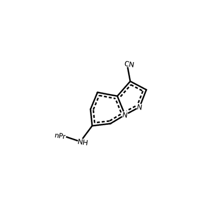 CCCNc1ccc2c(C#N)cnn2c1